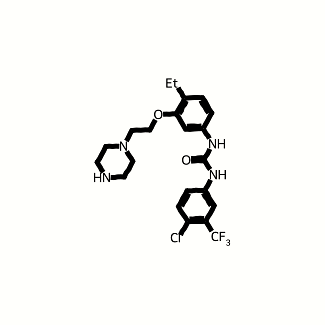 CCc1ccc(NC(=O)Nc2ccc(Cl)c(C(F)(F)F)c2)cc1OCCN1CCNCC1